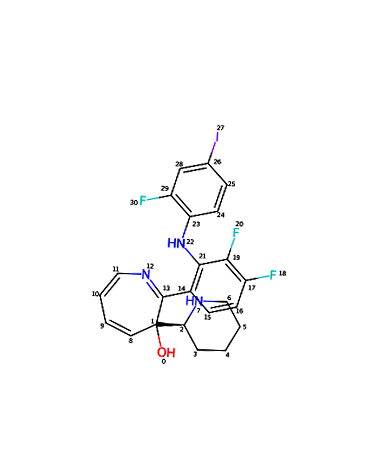 OC1([C@@H]2CCCCN2)C=CC=CN=C1c1ccc(F)c(F)c1Nc1ccc(I)cc1F